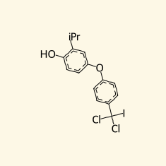 CC(C)c1cc(Oc2ccc(C(Cl)(Cl)I)cc2)ccc1O